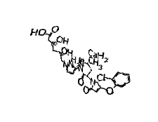 CC(C)CC(C(=O)Nc1ccn(C[C@@H](O)C[C@@H](O)CC(=O)O)n1)N1CC(Oc2ccccc2Cl)=CC1=O.[CaH2]